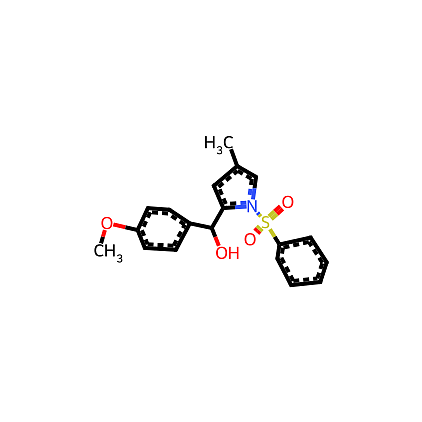 COc1ccc(C(O)c2cc(C)cn2S(=O)(=O)c2ccccc2)cc1